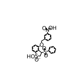 O=[N+](O)c1cccc(COc2cccc3c2C(S(=O)(=O)c2ccccc2)CS3([O-])O)c1